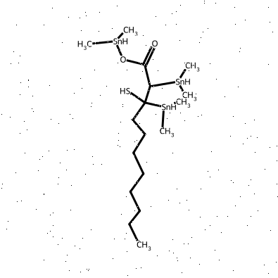 CCCCCCCC[C](S)([CH](C(=O)[O][SnH]([CH3])[CH3])[SnH]([CH3])[CH3])[SnH]([CH3])[CH3]